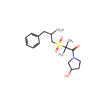 CC(C)(C(=O)N1CCC(O)C1)S(=O)(=O)CC(Cc1ccccc1)C(=O)O